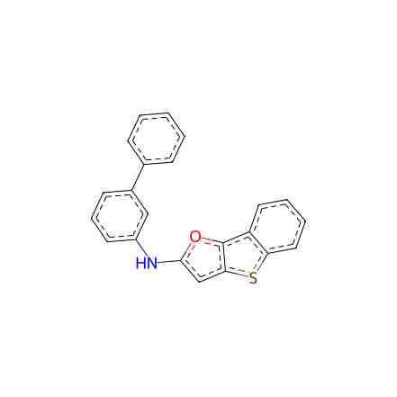 c1ccc(-c2cccc(Nc3cc4sc5ccccc5c4o3)c2)cc1